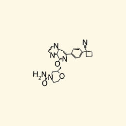 N#CC1(c2ccc(-c3cc4nccnc4c(OC[C@@H]4CN(C(N)=O)CCO4)n3)cc2)CCC1